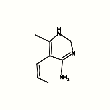 C/C=C\C1=C(C)NCN=C1N